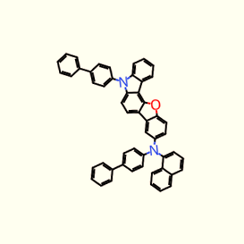 c1ccc(-c2ccc(N(c3ccc4oc5c(ccc6c5c5ccccc5n6-c5ccc(-c6ccccc6)cc5)c4c3)c3cccc4ccccc34)cc2)cc1